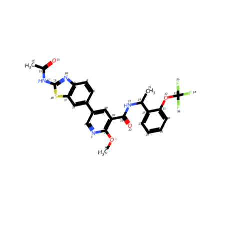 COc1ncc(-c2ccc3nc(NC(C)=O)sc3c2)cc1C(=O)NC(C)c1ccccc1OC(F)(F)F